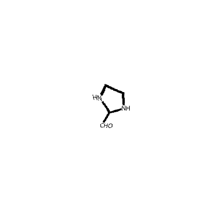 O=CC1NCCN1